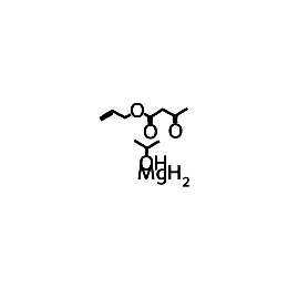 C=CCOC(=O)CC(C)=O.CC(C)O.[MgH2]